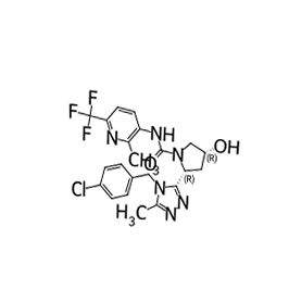 Cc1nc(C(F)(F)F)ccc1NC(=O)N1C[C@H](O)C[C@@H]1c1nnc(C)n1Cc1ccc(Cl)cc1